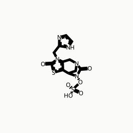 O=C1N2Cc3c(sc(=O)n3Cc3ncc[nH]3)C(C2)N1OS(=O)(=O)O